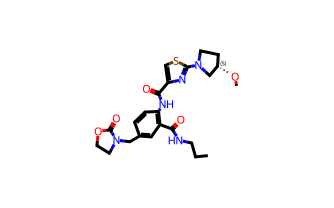 CCCNC(=O)c1cc(CN2CCOC2=O)ccc1NC(=O)c1csc(N2CC[C@H](OC)C2)n1